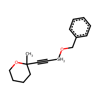 CC1(C#C[SiH2]OCc2ccccc2)CCCCO1